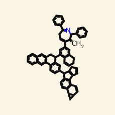 C=C1C(c2cc3c(c(C4Cc5cc6ccccc6cc5-c5ccc(C6C7=C(C=CC7)c7c6ccc6c7C=CC7CC67)cc54)c2)C=CCC3)=CCC(c2ccccc2)=NC1c1ccccc1